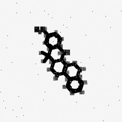 CC1(C)c2cc(N)ccc2NC2C3=C(SCC21)c1ccccc1SC3